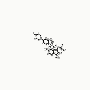 CN1CCN(c2ccc(S(=O)(=O)[C@@H]3C[C@@H](C(=O)O)N(C(=O)C4(c5ccc(Cl)cc5)CC4)C3)c(Cl)c2)CC1